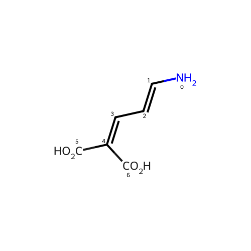 NC=CC=C(C(=O)O)C(=O)O